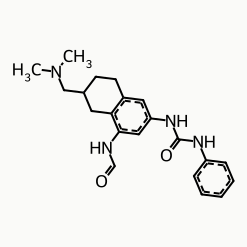 CN(C)CC1CCc2cc(NC(=O)Nc3ccccc3)cc(NC=O)c2C1